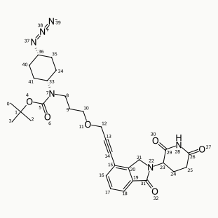 CC(C)(C)OC(=O)N(CCCOCC#Cc1cccc2c1CN(C1CCC(=O)NC1=O)C2=O)[C@H]1CC[C@@H](N=[N+]=[N-])CC1